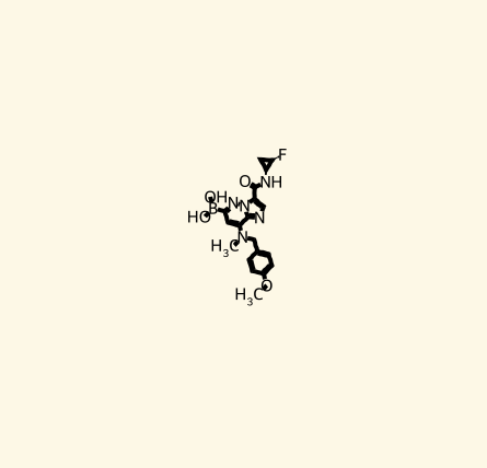 COc1ccc(CN(C)c2cc(B(O)O)nn3c(C(=O)N[C@@H]4C[C@@H]4F)cnc23)cc1